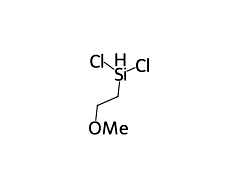 COCC[SiH](Cl)Cl